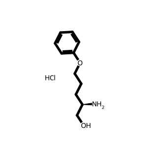 Cl.N[C@@H](CO)CCCOc1ccccc1